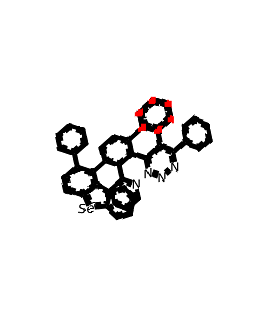 c1ccc(-c2ccc(-c3c(-c4ccccc4)ccc4[se]c5ccccc5c34)c(-c3ccccn3)c2-c2nnnc(-c3ccccc3)c2-c2ccccc2)cc1